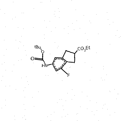 CCOC(=O)C1Cc2cc(NC(=O)OC(C)(C)C)cc(F)c2C1